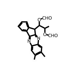 Cc1cc2nc3c(nc2cc1C)C(C(OC=O)C(C)OC=O)c1ccccc1-3